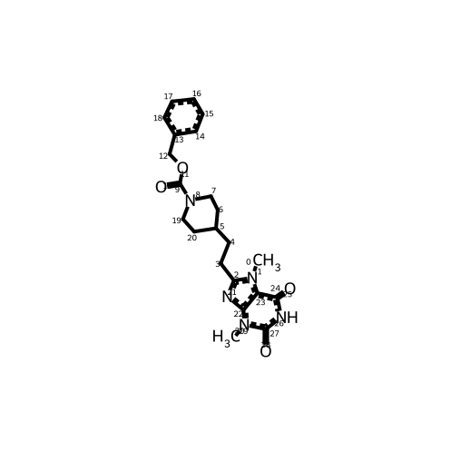 Cn1c(CCC2CCN(C(=O)OCc3ccccc3)CC2)nc2c1c(=O)[nH]c(=O)n2C